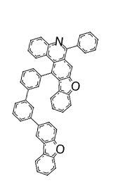 c1ccc(-c2nc3ccccc3c3c(-c4cccc(-c5cccc(-c6ccc7oc8ccccc8c7c6)c5)c4)c4c(cc23)oc2ccccc24)cc1